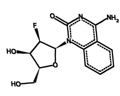 Nc1nc(=O)n([C@@H]2O[C@H](CO)[C@@H](O)[C@H]2F)c2ccccc12